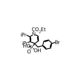 CCOC(=O)N1C=CC(Cc2ccc(Br)cc2)(P(=O)(O)O)C(C(C)C)=C1C(C)C